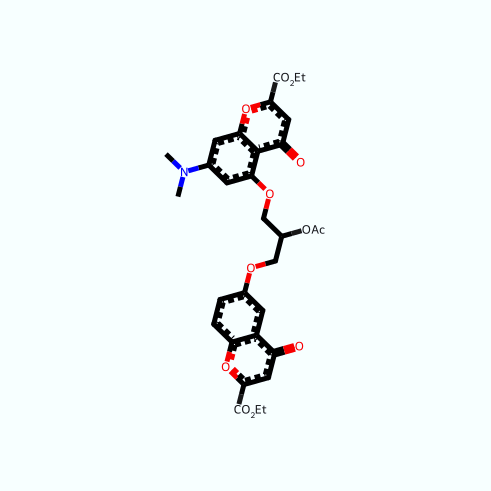 CCOC(=O)c1cc(=O)c2cc(OCC(COc3cc(N(C)C)cc4oc(C(=O)OCC)cc(=O)c34)OC(C)=O)ccc2o1